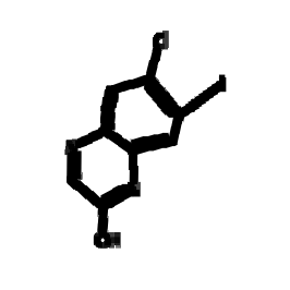 Oc1cnc2cc(Cl)c(I)cc2n1